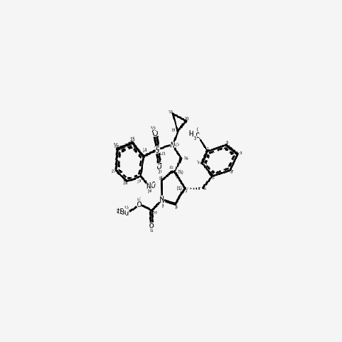 Cc1cccc(C[C@@H]2CN(C(=O)OC(C)(C)C)C[C@H]2CN(C2CC2)S(=O)(=O)c2ccccc2N=O)c1